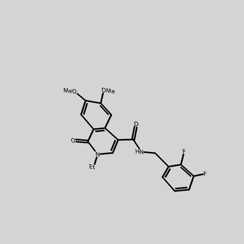 CCn1cc(C(=O)NCc2cccc(F)c2F)c2cc(OC)c(OC)cc2c1=O